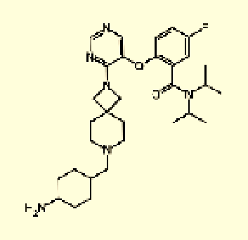 CC(C)N(C(=O)c1cc(F)ccc1Oc1cncnc1N1CC2(CCN(CC3CCC(N)CC3)CC2)C1)C(C)C